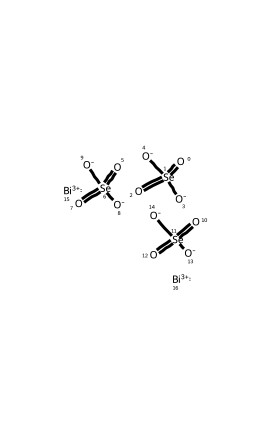 O=[Se](=O)([O-])[O-].O=[Se](=O)([O-])[O-].O=[Se](=O)([O-])[O-].[Bi+3].[Bi+3]